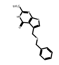 CCOC(=O)c1nc2scc(CSCc3ccccc3)c2c(=O)[nH]1